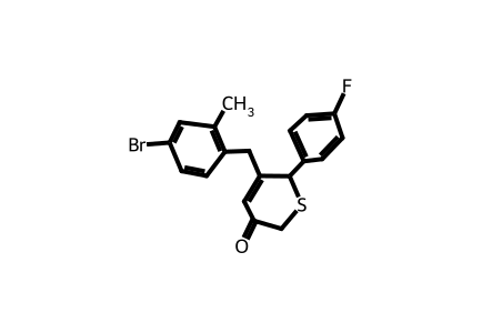 Cc1cc(Br)ccc1CC1=CC(=O)CSC1c1ccc(F)cc1